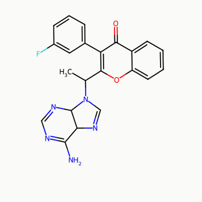 CC(c1oc2ccccc2c(=O)c1-c1cccc(F)c1)N1C=NC2C(N)=NC=NC21